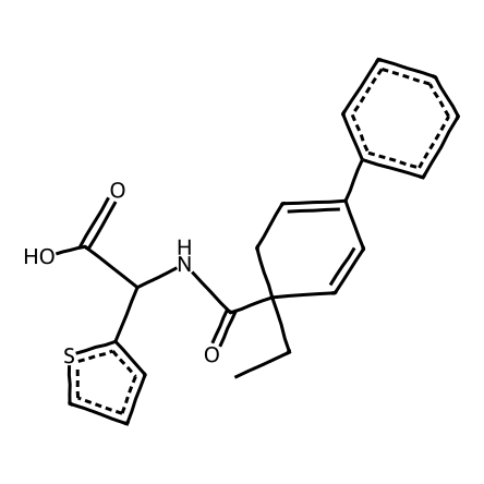 CCC1(C(=O)NC(C(=O)O)c2cccs2)C=CC(c2ccccc2)=CC1